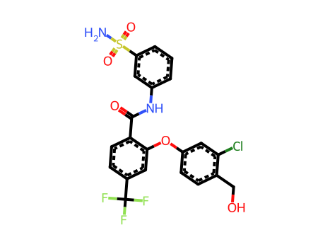 NS(=O)(=O)c1cccc(NC(=O)c2ccc(C(F)(F)F)cc2Oc2ccc(CO)c(Cl)c2)c1